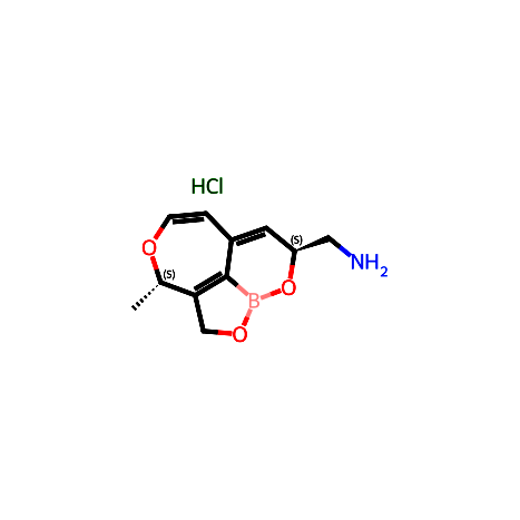 C[C@@H]1OC=CC2=C[C@@H](CN)OB3OCC1=C32.Cl